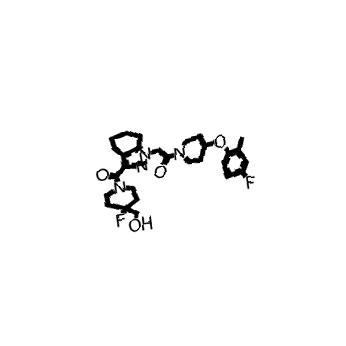 Cc1cc(F)ccc1OC1CCN(C(=O)Cn2nc(C(=O)N3CCC(F)(CO)CC3)c3c2CCCC3)CC1